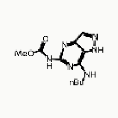 CCCCNc1nc(NC(=O)OC)nc2cn[nH]c12